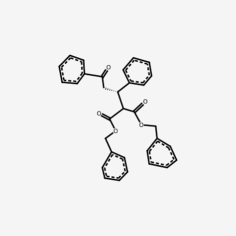 O=C(C[C@H](c1ccccc1)C(C(=O)OCc1ccccc1)C(=O)OCc1ccccc1)c1ccccc1